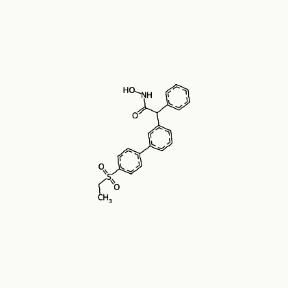 CCS(=O)(=O)c1ccc(-c2cccc(C(C(=O)NO)c3ccccc3)c2)cc1